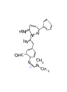 CN(C)/C=N\C1C=CC(CC(=N)n2nc(-c3ccccc3)ccc2=N)=CC1C=O